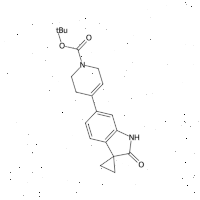 CC(C)(C)OC(=O)N1CC=C(c2ccc3c(c2)NC(=O)C32CC2)CC1